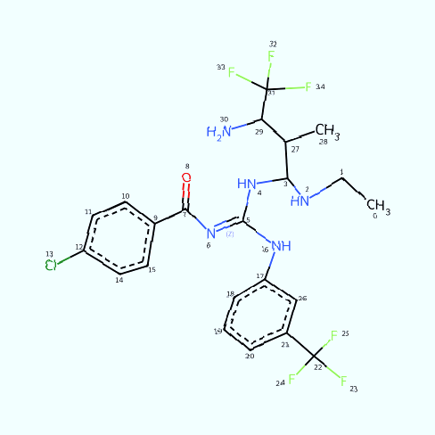 CCNC(N/C(=N\C(=O)c1ccc(Cl)cc1)Nc1cccc(C(F)(F)F)c1)C(C)C(N)C(F)(F)F